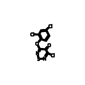 O=c1c(Cl)nsnc1Oc1ccc(Cl)cc1Cl